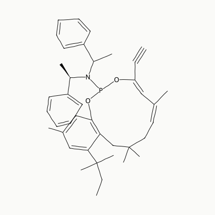 C#C/C1=C\C(C)=C/CC(C)(C)Cc2c(cc(C)cc2C(C)(C)CC)OP(N(C(C)c2ccccc2)[C@H](C)c2ccccc2)O1